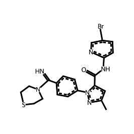 Cc1cc(C(=O)Nc2ccc(Br)cn2)n(-c2ccc(C(=N)N3CCSCC3)cc2)n1